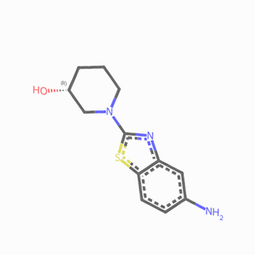 Nc1ccc2sc(N3CCC[C@@H](O)C3)nc2c1